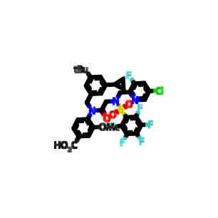 COc1cc(C(=O)O)ccc1N(Cc1cc(C2CC2)cc(C(C)(C)C)c1)C(=O)CN(Cc1ncc(Cl)cc1F)S(=O)(=O)c1c(F)c(F)c(F)c(F)c1F